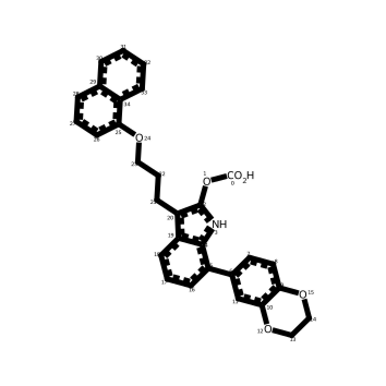 O=C(O)Oc1[nH]c2c(-c3ccc4c(c3)OCCO4)cccc2c1CCCOc1cccc2ccccc12